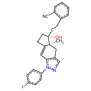 C[C@]12Cc3cnn(-c4ccc(F)cc4)c3C=C1CC[C@@]2(O)CCc1ccccc1C#N